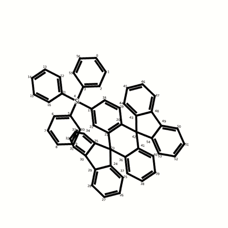 c1ccc([Si](c2ccccc2)(c2ccccc2)c2ccc3c(c2)C2(c4ccccc4-c4ccccc42)c2ccccc2C32c3ccccc3-c3ccccc32)cc1